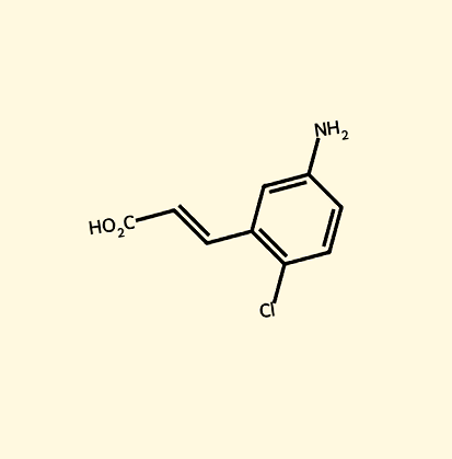 Nc1ccc(Cl)c(C=CC(=O)O)c1